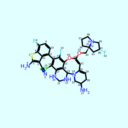 N#Cc1c(N)sc2c(F)ccc(-c3c(F)c4c5c(c3Cl)NCNC5N3CC(N)CC=C3C=C(OC[C@@]35CCCN3C[C@H](F)C5)O4)c12